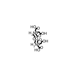 NCCOCCN.O=C(O)CN(CCOCCN(CC(=O)O)CC(=O)O)CC(=O)O